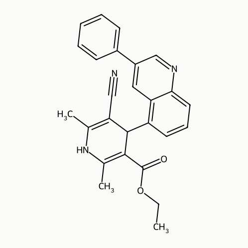 CCOC(=O)C1=C(C)NC(C)=C(C#N)C1c1cccc2ncc(-c3ccccc3)cc12